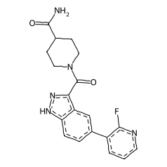 NC(=O)C1CCN(C(=O)c2n[nH]c3ccc(-c4cccnc4F)cc23)CC1